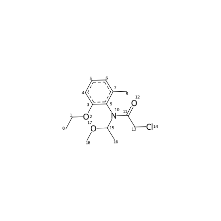 CCOc1cccc(C)c1N(C(=O)CCl)C(C)OC